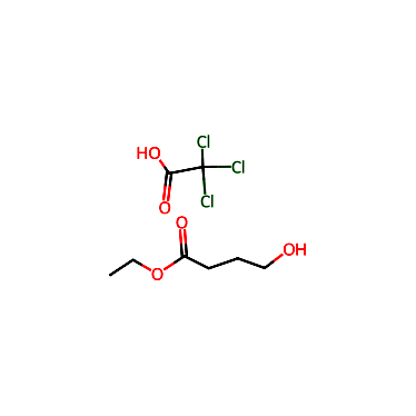 CCOC(=O)CCCO.O=C(O)C(Cl)(Cl)Cl